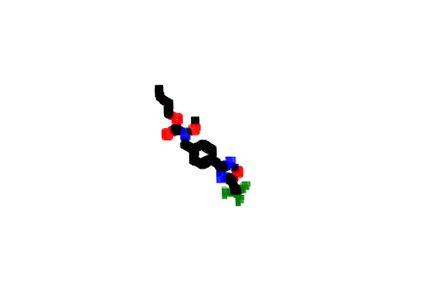 CCCCOC(=O)N(Cc1ccc(-c2noc(C(F)(F)F)n2)cc1)OC